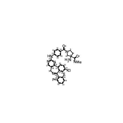 CNC(=O)C1(N)CCN(C(=O)c2ccc(Nc3ncc4c(n3)-c3ccc(Cl)cc3C(c3c(F)cccc3F)=NC4)cc2)C1